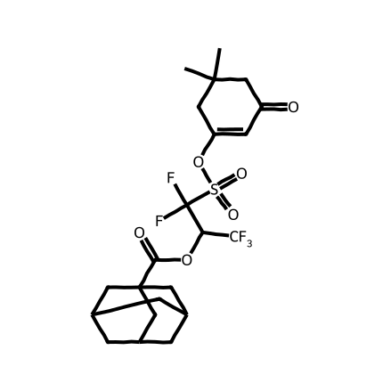 CC1(C)CC(=O)C=C(OS(=O)(=O)C(F)(F)C(OC(=O)C23CC4CC(CC(C4)C2)C3)C(F)(F)F)C1